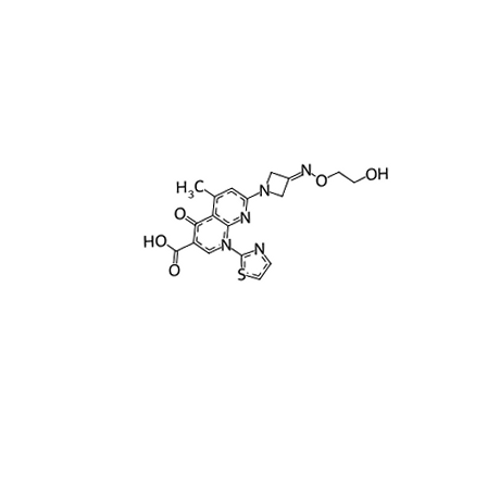 Cc1cc(N2CC(=NOCCO)C2)nc2c1c(=O)c(C(=O)O)cn2-c1nccs1